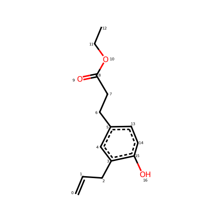 C=CCc1cc(CCC(=O)OCC)ccc1O